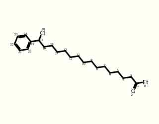 CCC(=O)CCCCCCCCCCCCCCC(Cl)c1ccccc1